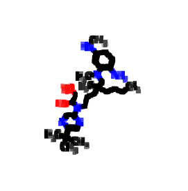 CCCCC(C)(CCCN(c1cnc(C(C)(C)C)cn1)C(O)CO)CN(C)C1=C(N)CCC(NC)=C1